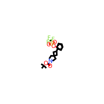 CC(C)(C)OC(=O)N1CCC2(CC1)CC(c1ccccc1OS(=O)(=O)C(F)(F)F)C2